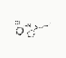 CCCCSc1ccccc1/N=C\c1ccccc1O